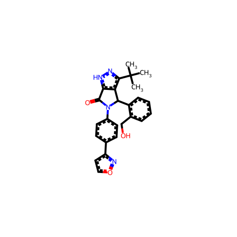 CC(C)(C)c1n[nH]c2c1C(c1ccccc1CO)N(c1ccc(-c3ccon3)cc1)C2=O